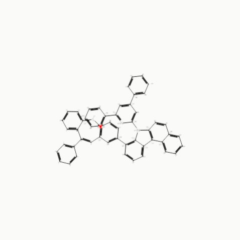 C1=C(c2ccccc2)c2ccccc2Sc2ccc(-c3cccc4c5c6ccccc6ccc5n(-c5cc(-c6ccccc6)cc(-c6ccccc6)n5)c34)cc21